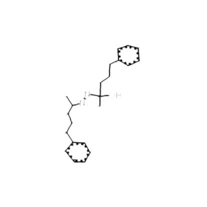 CC(CCCc1ccccc1)N=NC(C)(O)CCCc1ccccc1